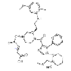 COC[C@]1(O)CCCC[C@H]1n1cnc(C(=O)N2CCNC[C@H]2CCNc2cc(OC)ccc2C)c1-c1ccccc1.O=C(O)/C=C/C(=O)O